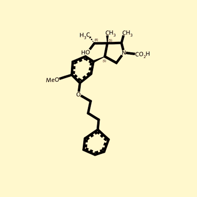 COc1ccc([C@@H]2CN(C(=O)O)C(C)[C@@]2(C)[C@@H](C)O)cc1OCCCc1ccccc1